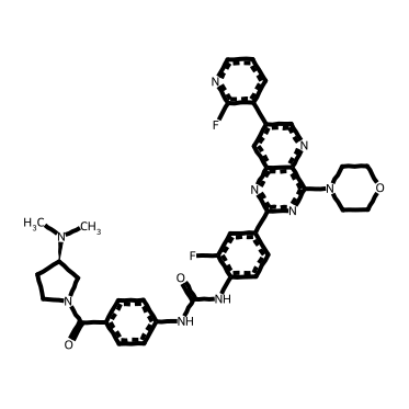 CN(C)[C@@H]1CCN(C(=O)c2ccc(NC(=O)Nc3ccc(-c4nc(N5CCOCC5)c5ncc(-c6cccnc6F)cc5n4)cc3F)cc2)C1